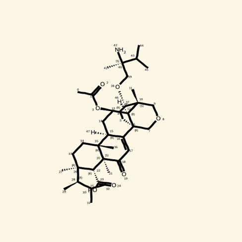 CC(=O)O[C@@H]1C[C@@]23COC[C@](C)([C@@H]2CC[C@H]2C3=CC(=O)[C@@]3(C)[C@H](C(=O)O)[C@@](C)([C@H](C)C(C)C)CC[C@]23C)[C@H]1OC[C@@](C)(N)C(C)C